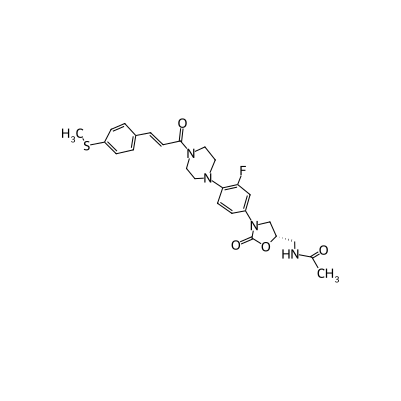 CSc1ccc(C=CC(=O)N2CCN(c3ccc(N4C[C@H](CNC(C)=O)OC4=O)cc3F)CC2)cc1